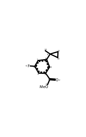 COC(=O)c1cc(F)cc(C2(C)CC2)c1